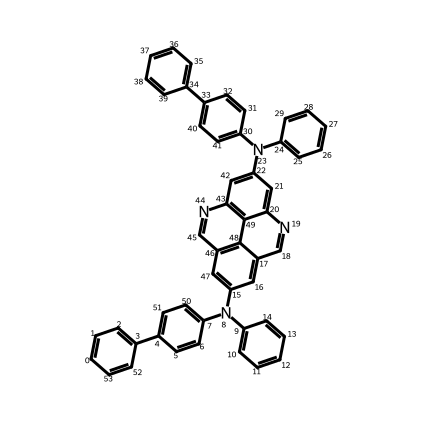 c1ccc(-c2ccc(N(c3ccccc3)c3cc4cnc5cc(N(c6ccccc6)c6ccc(-c7ccccc7)cc6)cc6ncc(c3)c4c56)cc2)cc1